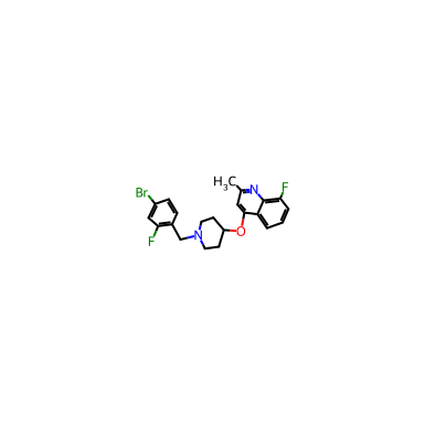 Cc1cc(OC2CCN(Cc3ccc(Br)cc3F)CC2)c2cccc(F)c2n1